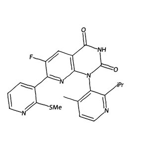 CSc1ncccc1-c1nc2c(cc1F)c(=O)[nH]c(=O)n2-c1c(C)ccnc1C(C)C